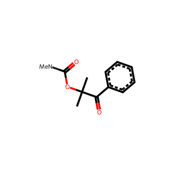 CNC(=O)OC(C)(C)C(=O)c1ccccc1